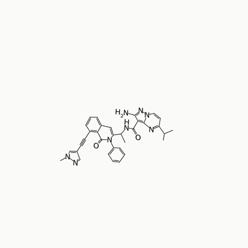 CC(C)c1ccn2nc(N)c(C(=O)NC(C)c3cc4cccc(C#Cc5cnn(C)c5)c4c(=O)n3-c3ccccc3)c2n1